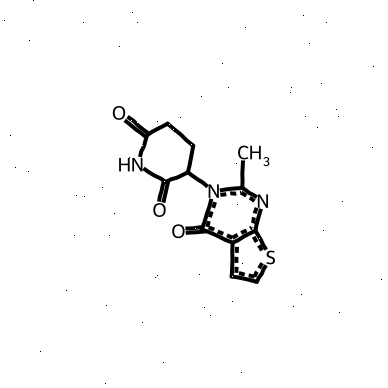 Cc1nc2sccc2c(=O)n1C1CCC(=O)NC1=O